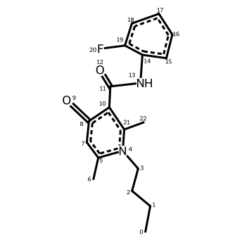 CCCCn1c(C)cc(=O)c(C(=O)Nc2ccccc2F)c1C